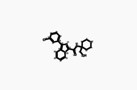 O=C(NC1(CO)CCOCC1)c1nc(-c2cccc(Cl)c2)c2ccccn12